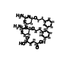 NC1=NC(OCCc2ccccc2)CCS1.NC1=NC(OCCc2ccccc2)CCS1.O=C(O)C=CC(=O)O